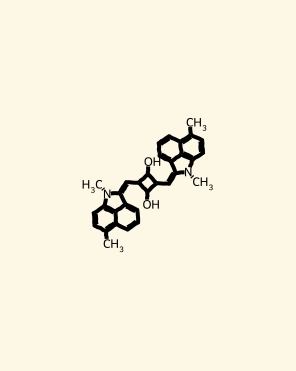 Cc1ccc2c3c1cccc3/c(=C\C1C(O)C(/C=c3\c4cccc5c(C)ccc(c54)n3C)C1O)n2C